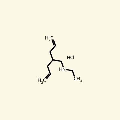 C=CCC(CC=C)CNCC.Cl